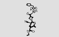 CCOC(=O)c1cc(C#N)c(N2CC(C(=O)NS(=O)(=O)CC3CCCC3)C2)nc1C